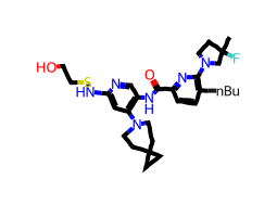 CCCCc1ccc(C(=O)Nc2cnc(NSCCO)cc2N2CCC3(CC2)CC3)nc1N1CCC(C)(F)C1